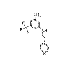 Cc1cc(NCCc2ccncc2)cc(C(F)(F)F)c1